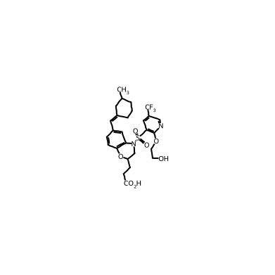 CC1CCCC(=Cc2ccc3c(c2)N(S(=O)(=O)c2cc(C(F)(F)F)cnc2OCCO)CC(CCC(=O)O)O3)C1